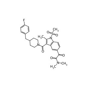 Cc1c(C(=O)N2CCC(Cc3ccc(F)cc3)CC2)c2cc(C(=O)C(=O)N(C)C)ccc2n1S(C)(=O)=O